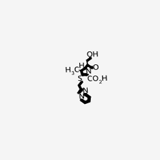 C[C@H]1C(SCCc2cn3ccccc3n2)=C(C(=O)O)N2C(=O)[C@H](CCO)[C@H]12